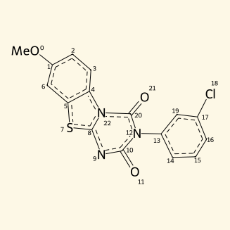 COc1ccc2c(c1)sc1nc(=O)n(-c3cccc(Cl)c3)c(=O)n12